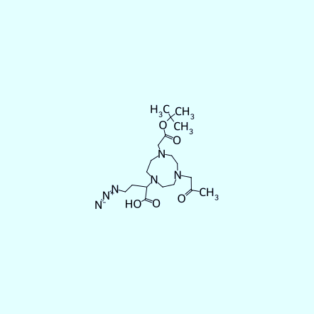 CC(=O)CN1CCN(CC(=O)OC(C)(C)C)CCN(C(CCN=[N+]=[N-])C(=O)O)CC1